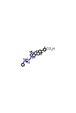 C=C(C)[C@@H]1CC[C@]2(NCCN3C[C@@H]4C[C@H]3CN4Cc3ccccc3)CC[C@]3(C)[C@H](CC[C@@H]4[C@@]5(C)CC=C(c6ccc(C(=O)O)c(C)c6)C(C)(C)[C@@H]5CC[C@]43C)C12